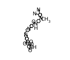 CN(c1ccc(C#N)c(C#N)c1)[C@H]1CC[C@H](NC(=O)c2ccc(N3CCC(CN4Cc5cc6c(cc5C4)C(=O)N([C@H]4CCC(=O)NC4=O)C6=O)CC3)cc2)CC1